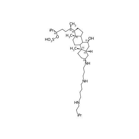 CC(C)CCNCCCCNCCCN[C@H]1CC[C@]2(C)C3CC[C@@]4(C)C(CC[C@@H]4[C@H](C)CC[C@@H](OS(=O)(=O)O)C(C)C)C3[C@@H](O)C[C@@H]2C1